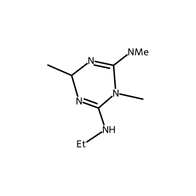 CCNC1=NC(C)N=C(NC)N1C